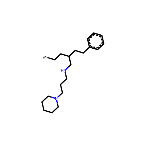 CC(C)CCC(CCc1ccccc1)CNCCCN1CCCCC1